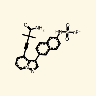 CCCS(=O)(=O)Nc1ccc2cc(-c3cnn4cccc(C#CC(C)(C)C(N)=O)c34)ccc2c1